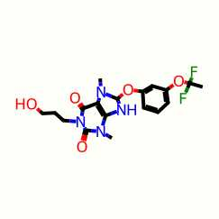 CN1c2c(n(C)c(=O)n(CCCO)c2=O)NC1Oc1cccc(OC(C)(F)F)c1